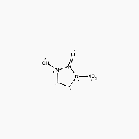 O=NN1CCN([N+](=O)[O-])C1=O